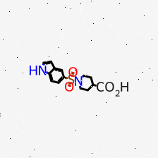 O=C(O)C1CCN(S(=O)(=O)c2ccc3[nH]ccc3c2)CC1